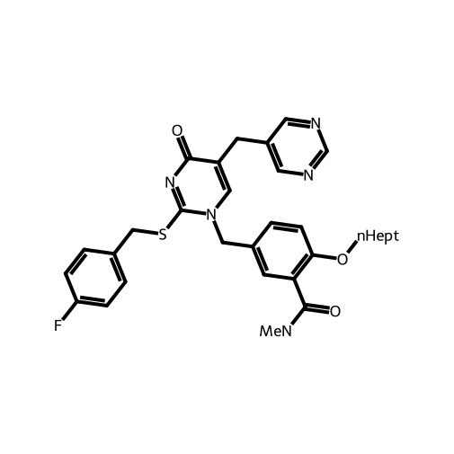 CCCCCCCOc1ccc(Cn2cc(Cc3cncnc3)c(=O)nc2SCc2ccc(F)cc2)cc1C(=O)NC